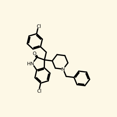 O=C1Nc2cc(Cl)ccc2C1(Cc1cccc(Cl)c1)C1CCCN(Cc2ccccc2)C1